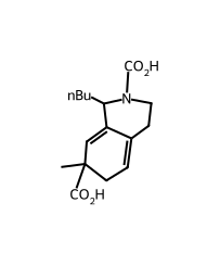 CCCCC1C2=CC(C)(C(=O)O)CC=C2CCN1C(=O)O